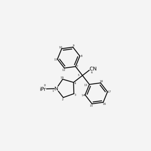 CC(C)N1CCC(C(C#N)(c2ccccc2)c2ccccc2)C1